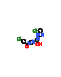 O=C(c1ccc(Cl)cc1)N1CCN(C2CN(c3cnc4cccc(Cl)c4n3)CC2O)CC1